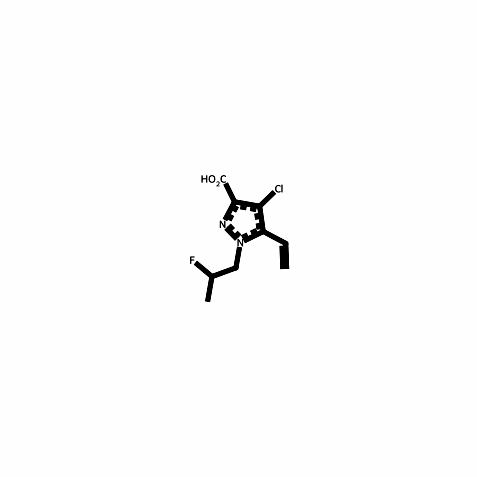 C=Cc1c(Cl)c(C(=O)O)nn1CC(C)F